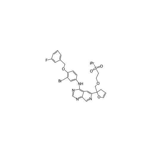 CC(C)S(=O)(=O)CCOCC1(c2cc3c(Nc4ccc(OCc5cccc(F)c5)c(Br)c4)ncnc3cn2)CC=CO1